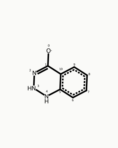 [O]C1=NNNc2ccccc21